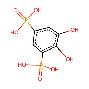 O=P(O)(O)c1cc(O)c(O)c(P(=O)(O)O)c1